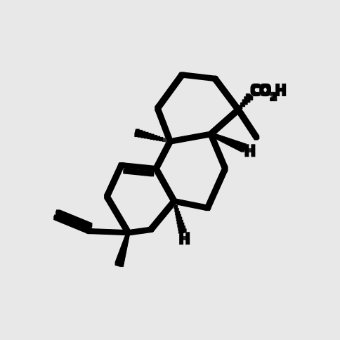 C=C[C@]1(C)CC=C2[C@@H](CC[C@H]3[C@@](C)(C(=O)O)CCC[C@]23C)C1